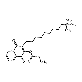 CCC(=O)OC1=C(CCCCCCCCC[Si](C)(C)C)C(=O)c2ccccc2C1=O